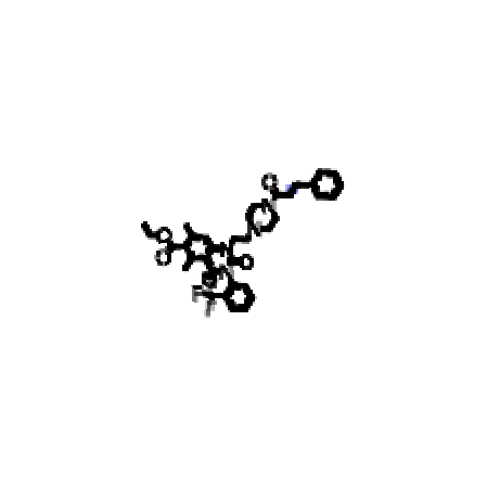 CCOC(=O)c1c(C)cc2c(c1C)c(=O)n(-c1ccccc1C(F)(F)F)c(=O)n2CCN1CCN(C(=O)/C=C/c2ccccc2)CC1